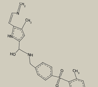 C=N/C=C\c1[nH]c(C(O)NCc2ccc(S(=O)(=O)c3ccc(C)cc3C)cc2)cc1C